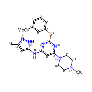 COc1cccc(Sc2nc(Nc3cc(C)n[nH]3)cc(N3CCN(C(C)(C)C)CC3)n2)c1